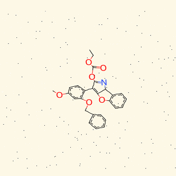 CCOC(=O)OC1=NC2C(=C1c1ccc(OC)cc1OCc1ccccc1)Oc1ccccc12